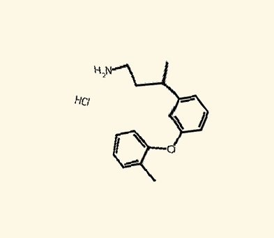 Cc1ccccc1Oc1cccc(C(C)CCN)c1.Cl